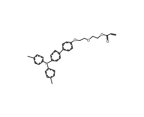 C=CC(=O)OCCOCCOc1ccc(-c2ccc(N(c3ccc(C)cc3)c3ccc(C)cc3)cc2)cc1